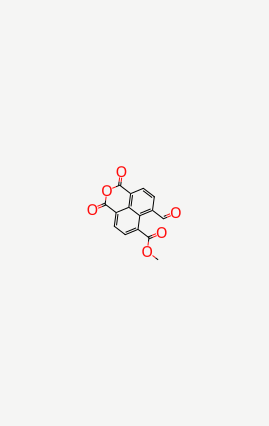 COC(=O)c1ccc2c3c(ccc(C=O)c13)C(=O)OC2=O